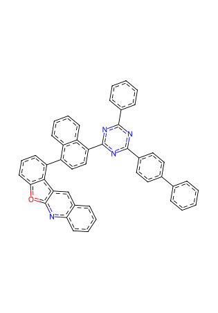 c1ccc(-c2ccc(-c3nc(-c4ccccc4)nc(-c4ccc(-c5cccc6oc7nc8ccccc8cc7c56)c5ccccc45)n3)cc2)cc1